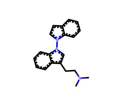 CN(C)CCc1cn(-n2ccc3ccccc32)c2ccccc12